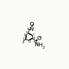 Cc1cc(CN=O)cc(C(N)=O)c1